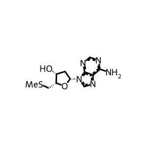 CSC[C@H]1O[C@@H](n2cnc3c(N)ncnc32)C[C@H]1O